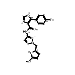 CC(=O)c1ccc(Cn2ncc(NC(=O)c3ncoc3-c3ccc(F)cc3)n2)o1